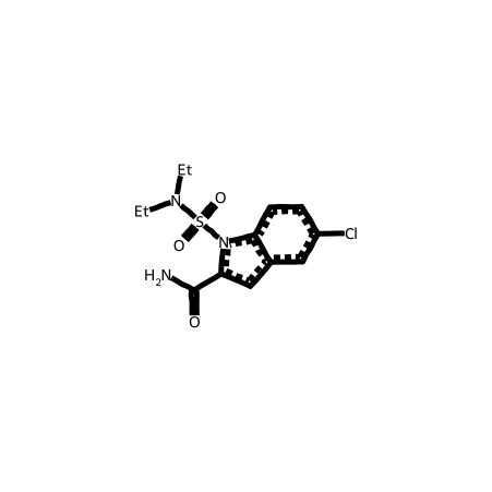 CCN(CC)S(=O)(=O)n1c(C(N)=O)cc2cc(Cl)ccc21